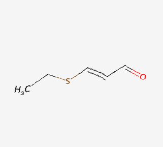 CCSC=CC=O